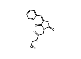 CCOC(=O)CN1C(=O)SC(=Cc2ccccc2)C1=O